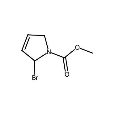 COC(=O)N1CC=CC1Br